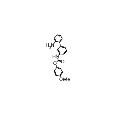 COc1ccc(OC(=O)Nc2cccc(-c3ccccc3N)c2)cc1